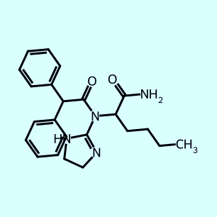 CCCCC(C(N)=O)N(C(=O)C(c1ccccc1)c1ccccc1)C1=NCCN1